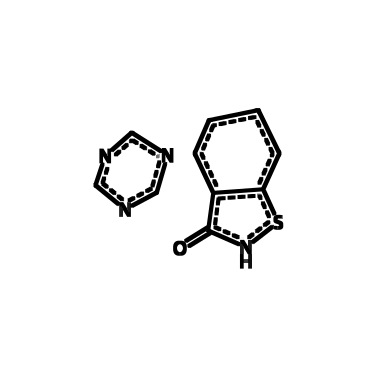 O=c1[nH]sc2ccccc12.c1ncncn1